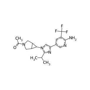 CC(=O)N1CC2C(C1)C2n1cc(-c2cnc(N)c(C(F)(F)F)c2)nc1C(C)C